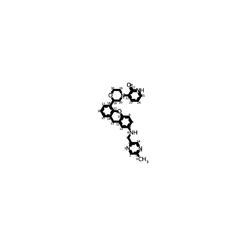 Cc1cnc(CNc2ccc3c(c2)Cc2cccc(C4CN(c5ccc[nH]c5=O)CCO4)c2O3)cn1